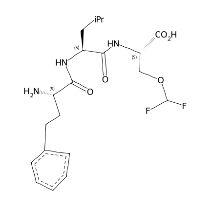 CC(C)C[C@H](NC(=O)[C@@H](N)CCc1ccccc1)C(=O)N[C@@H](COC(F)F)C(=O)O